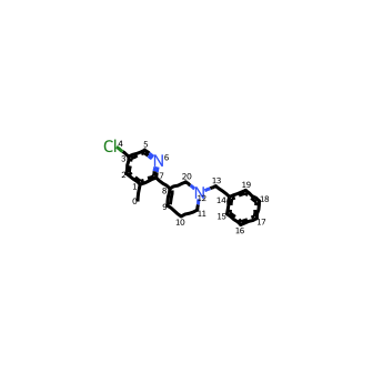 Cc1cc(Cl)cnc1C1=CCCN(Cc2ccccc2)C1